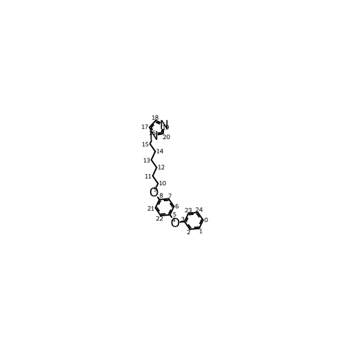 c1ccc(Oc2ccc(OCCCCCCn3ccnc3)cc2)cc1